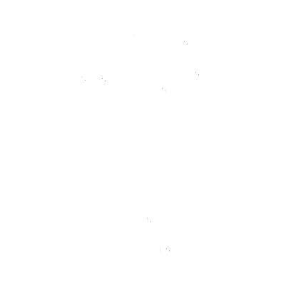 CN1C=NC2C=C(C(CC(=O)O)n3ncc4cc(OCCc5ccc6c(n5)NCCC6)ccc43)C=NC21